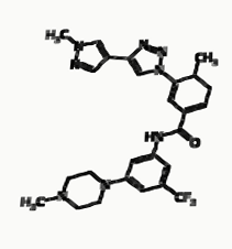 CC1CC=C(C(=O)Nc2cc(N3CCN(C)CC3)cc(C(F)(F)F)c2)C=C1n1cc(-c2cnn(C)c2)nn1